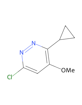 COc1cc(Cl)nnc1C1CC1